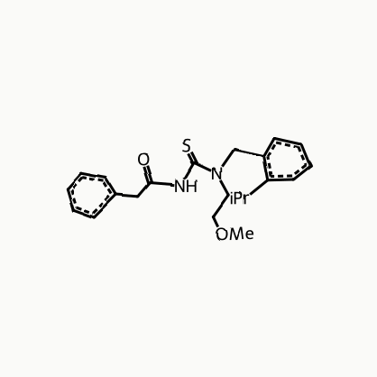 COCCN(Cc1ccccc1C(C)C)C(=S)NC(=O)Cc1ccccc1